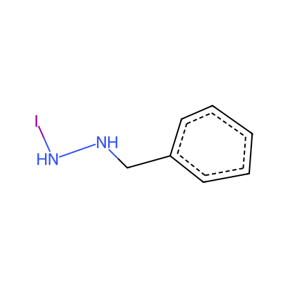 INNCc1ccccc1